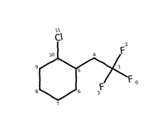 FC(F)(F)CC1CCCC[C]1Cl